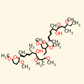 CC[C@H](OC)[C@@H](C)[C@H]1O[C@@H]1[C@H](O)[C@@H](C)/C=C/C=C(\C)[C@H]1O[C@@H](OC)CC(CC[C@H](OC)[C@@H](C)[C@H]2O[C@@H]2[C@H](O)[C@@H](C)/C=C/C=C(\C)[C@H]2O[C@@H](OC)CC[C@H]2OC)[C@@H]1OC